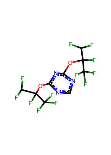 FC(F)C(F)(Oc1ncnc(OC(F)(C(F)F)C(F)(F)F)n1)C(F)(F)F